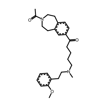 COc1ccccc1CCN(C)CCCCC(=O)c1ccc2c(c1)CCN(C(C)=O)CC2